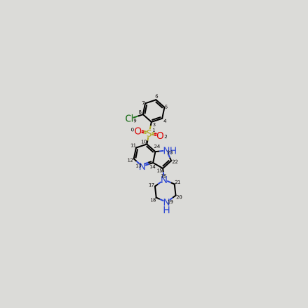 O=S(=O)(c1ccccc1Cl)c1ccnc2c(N3CCNCC3)c[nH]c12